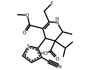 COC(=O)C1=C(CF)NC(C)C(C(=O)O)(C(C)C)C1c1sccc1C#N